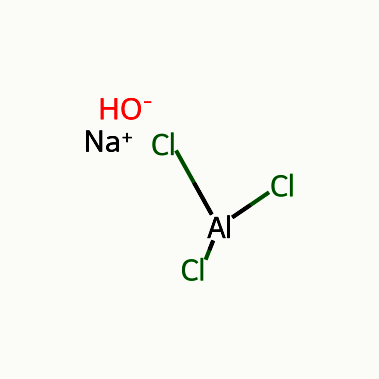 [Cl][Al]([Cl])[Cl].[Na+].[OH-]